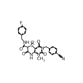 Cn1c2c(c(=O)n(Cc3ccc(C#N)cc3)c1=O)[S+]([O-])C(C(=O)NCc1ccc(F)cc1)C(=O)N2